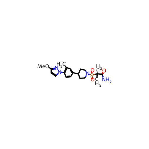 COc1ccn(-c2ccc(C3CCN(S(=O)(=O)C(C)(C)C(N)=O)CC3)cc2C)n1